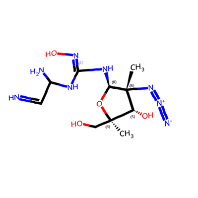 C[C@]1(N=[N+]=[N-])[C@H](N/C(=N/O)NC(N)C=N)O[C@](C)(CO)[C@H]1O